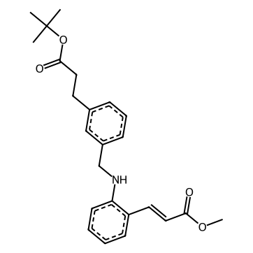 COC(=O)C=Cc1ccccc1NCc1cccc(CCC(=O)OC(C)(C)C)c1